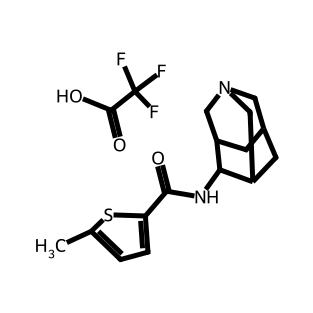 Cc1ccc(C(=O)NC2C3CC4CC2CN(C4)C3)s1.O=C(O)C(F)(F)F